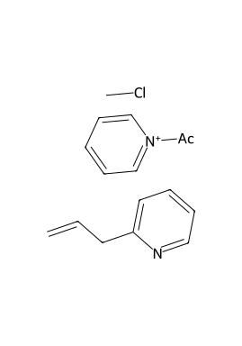 C=CCc1ccccn1.CC(=O)[n+]1ccccc1.CCl